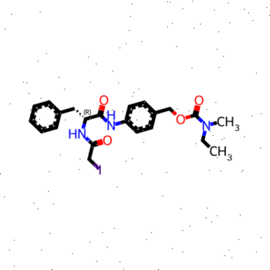 CCN(C)C(=O)OCc1ccc(NC(=O)[C@@H](Cc2ccccc2)NC(=O)CI)cc1